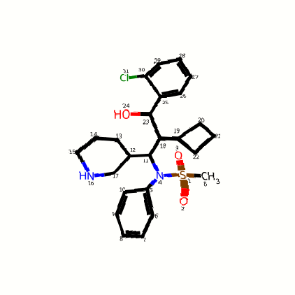 CS(=O)(=O)N(c1ccccc1)C(C1CCCNC1)C(C1CCC1)C(O)c1ccccc1Cl